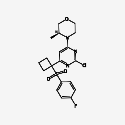 C[C@H]1COCCN1c1cc(C2(S(=O)(=O)c3ccc(F)cc3)CCC2)nc(Cl)n1